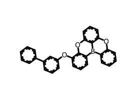 c1ccc(-c2cccc(Oc3cccc4c3Oc3cccc5c3B4c3ccccc3O5)c2)cc1